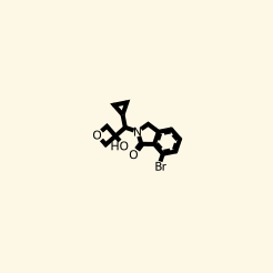 O=C1c2c(Br)cccc2CN1C(C1CC1)C1(O)COC1